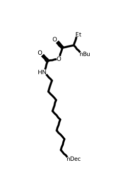 CCCCCCCCCCCCCCCCCCNC(=O)OC(=O)C(CC)CCCC